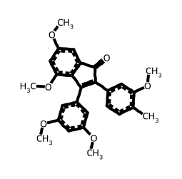 COc1cc(OC)cc(C2=C(c3ccc(C)c(OC)c3)C(=O)c3cc(OC)cc(OC)c32)c1